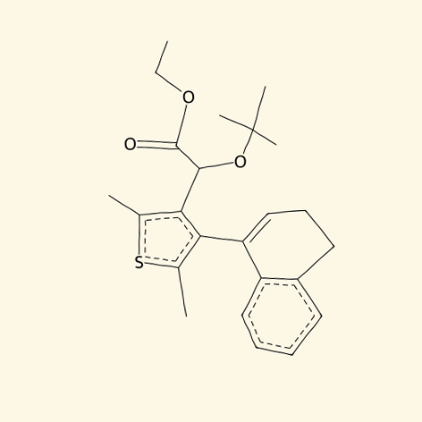 CCOC(=O)C(OC(C)(C)C)c1c(C)sc(C)c1C1=CCCc2ccccc21